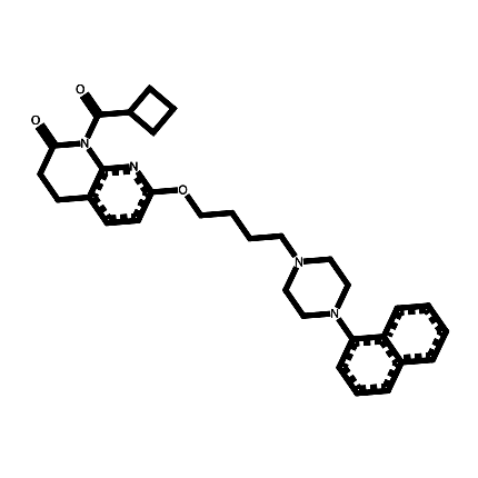 O=C1CCc2ccc(OCCCCN3CCN(c4cccc5ccccc45)CC3)nc2N1C(=O)C1CCC1